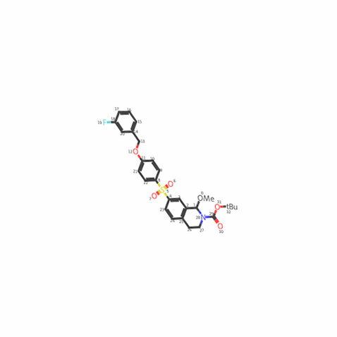 COC1c2cc(S(=O)(=O)c3ccc(OCc4cccc(F)c4)cc3)ccc2CCN1C(=O)OC(C)(C)C